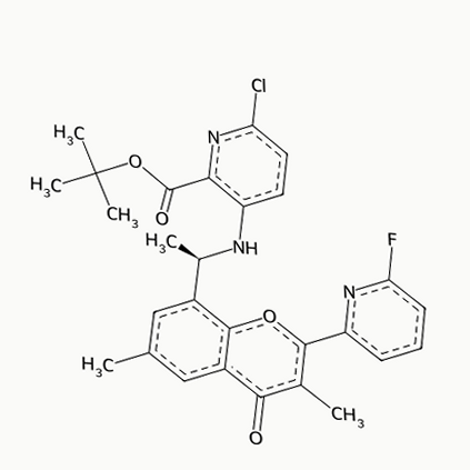 Cc1cc([C@@H](C)Nc2ccc(Cl)nc2C(=O)OC(C)(C)C)c2oc(-c3cccc(F)n3)c(C)c(=O)c2c1